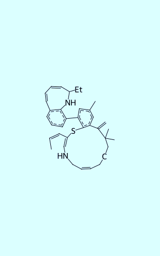 C=C1c2cc(C)cc(-c3cccc4c3NC(CC)/C=C\C=C/4)c2SC(/C=C\C)=C\NC/C=C\CCCC1(C)C